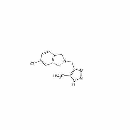 O=C(O)c1[nH]nnc1CN1Cc2ccc(Cl)cc2C1